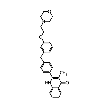 Cc1c(-c2ccc(Cc3cccc(OCCN4CCOCC4)c3)cc2)[nH]c2ccccc2c1=O